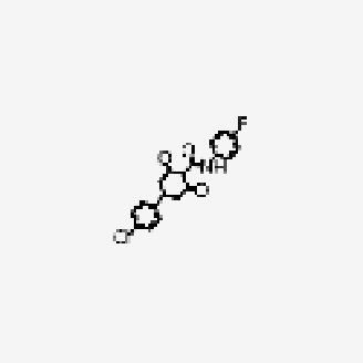 O=C1CC(c2ccc(Cl)cc2)CC(=O)C1C(=O)Nc1ccc(F)cc1